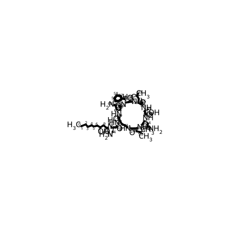 CCCCCCC[C@@H](O)CC(=O)N[C@H](CN)C(=O)N[C@H]1CCNC(=O)[C@H](CC(C)C)NC(=O)[C@H](CCN)NC(=O)[C@H](CO)NC(=O)[C@H](CC(C)C)NC(=O)[C@@H](Cc2ccccc2)NC(=O)[C@H](CCN)NC1=O